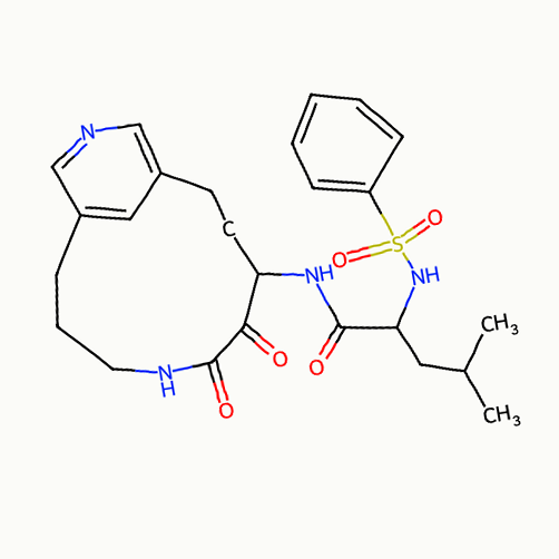 CC(C)CC(NS(=O)(=O)c1ccccc1)C(=O)NC1CCc2cncc(c2)CCCNC(=O)C1=O